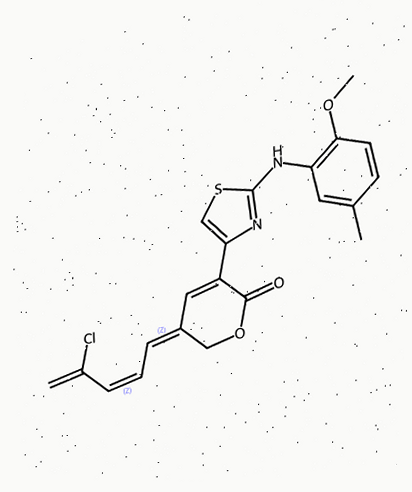 C=C(Cl)/C=C\C=C1\C=C(c2csc(Nc3cc(C)ccc3OC)n2)C(=O)OC1